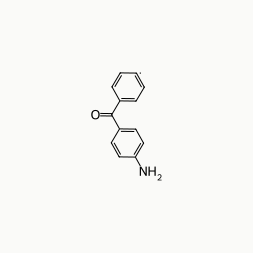 Nc1ccc(C(=O)c2cc[c]cc2)cc1